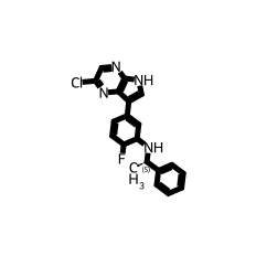 C[C@H](NC1C=C(c2c[nH]c3ncc(Cl)nc23)C=CC1F)c1ccccc1